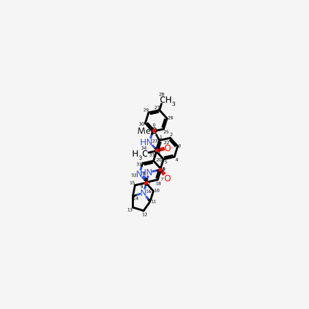 COc1cccc(C(=O)NC2CC3CCC(C2)N3c2ccc(C(=O)Nc3ccc(C)cc3)cn2)c1C